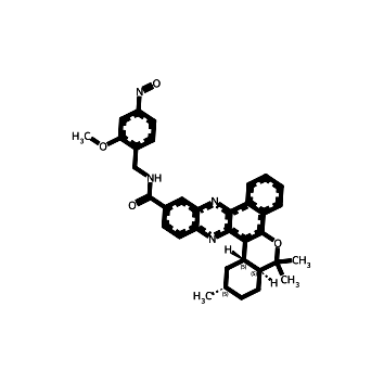 COc1cc(N=O)ccc1CNC(=O)c1ccc2nc3c4c(c5ccccc5c3nc2c1)OC(C)(C)[C@H]1CC[C@H](C)C[C@H]41